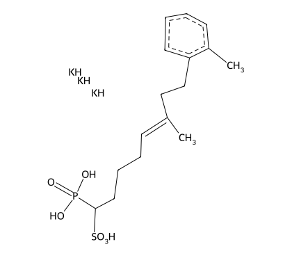 C/C(=C\CCCC(P(=O)(O)O)S(=O)(=O)O)CCc1ccccc1C.[KH].[KH].[KH]